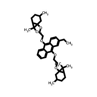 CCc1ccc2c(OCCOC34CC(C)CCC3C4(C)C)c3ccccc3c(OCCOC34CC(C)CCC3C4(C)C)c2c1